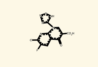 O=C(O)c1cn(-c2nnn[nH]2)c2nc(Cl)c(F)cc2c1=O